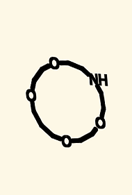 C1COCCOCCNCCOCCOC1